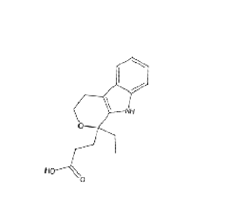 CCC1(CCC(=O)O)OCCc2c1[nH]c1ccccc21